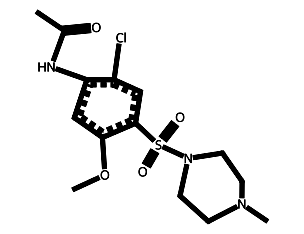 COc1cc(NC(C)=O)c(Cl)cc1S(=O)(=O)N1CCN(C)CC1